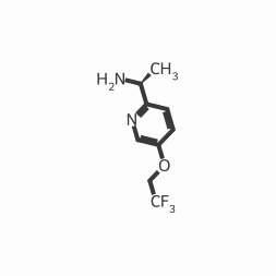 C[C@H](N)c1ccc(OCC(F)(F)F)cn1